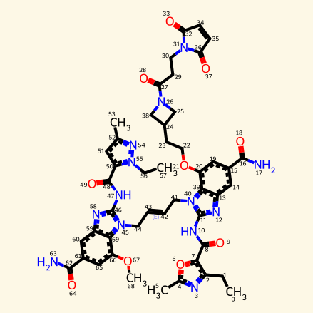 CCc1nc(C)oc1C(=O)Nc1nc2cc(C(N)=O)cc(OCCC3CN(C(=O)CCN4C(=O)C=CC4=O)C3)c2n1C/C=C/Cn1c(NC(=O)c2cc(C)nn2CC)nc2cc(C(N)=O)cc(OC)c21